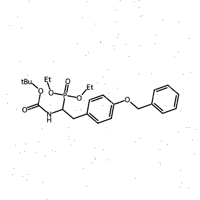 CCOP(=O)(OCC)C(Cc1ccc(OCc2ccccc2)cc1)NC(=O)OC(C)(C)C